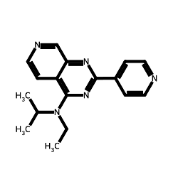 CCN(c1nc(-c2ccncc2)nc2cnccc12)C(C)C